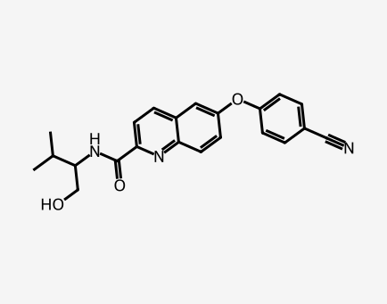 CC(C)C(CO)NC(=O)c1ccc2cc(Oc3ccc(C#N)cc3)ccc2n1